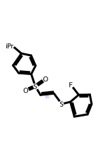 CC(C)c1ccc(S(=O)(=O)/C=C/Sc2ccccc2F)cc1